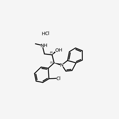 CNC[C@@H](O)[C@H](c1ccccc1Cl)n1ccc2ccccc21.Cl